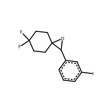 FC1(F)CCC2(CC1)OC2c1cccc(I)c1